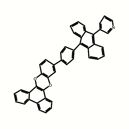 c1cncc(-c2c3ccccc3c(-c3ccc(-c4ccc5c(c4)Oc4c(c6ccccc6c6ccccc46)O5)cc3)c3ccccc23)c1